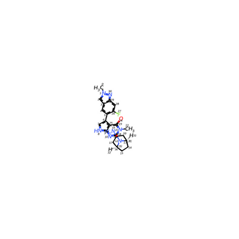 Cn1cc2cc(-c3c[nH]c4nc(N5[C@@H]6CC[C@H]5C[C@@H](N)C6)n(C)c(=O)c34)c(F)cc2n1